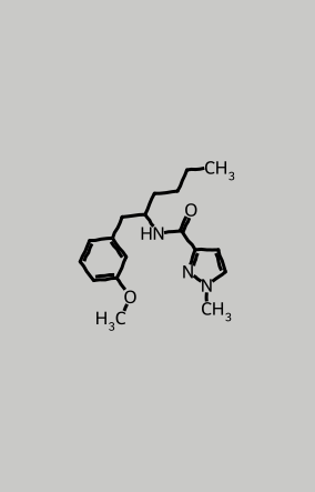 CCCCC(Cc1cccc(OC)c1)NC(=O)c1ccn(C)n1